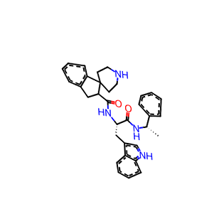 C[C@H](NC(=O)[C@H](Cc1c[nH]c2ccccc12)NC(=O)C1Cc2ccccc2C12CCNCC2)c1ccccc1